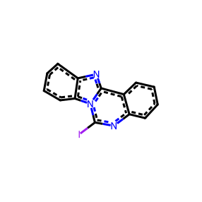 Ic1nc2ccccc2c2nc3ccccc3n12